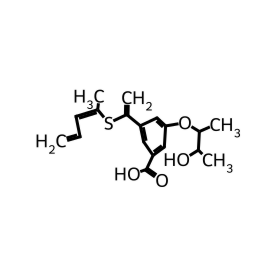 C=C/C=C(/C)SC(=C)c1cc(OC(C)C(C)O)cc(C(=O)O)c1